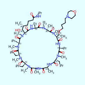 CC[C@@H]1NC(=O)[C@H]([C@H](O)[C@H](C)CCCC(=O)NC(C)C)N(C)C(=O)[C@H](C(C)C)N(C)C(=O)[C@H](CC(C)C)N(C)C(=O)[C@H](CC(C)C)N(C)C(=O)[C@@H](C)NC(=O)[C@H](C)NC(=O)[C@H](CC(C)C)N(C)C(=O)[C@H](C(C)C)NC(=O)[C@H]([C@@H](C)OCCCCN2CCOCC2)N(C)C(=O)[C@@H](C)N(C)C1=O